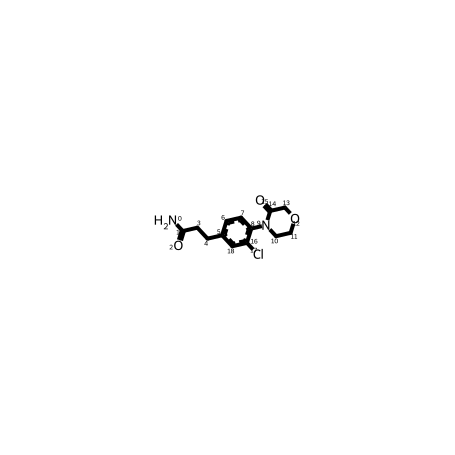 NC(=O)CCc1ccc(N2CCOCC2=O)c(Cl)c1